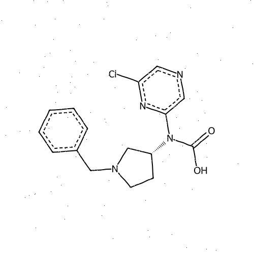 O=C(O)N(c1cncc(Cl)n1)[C@@H]1CCN(Cc2ccccc2)C1